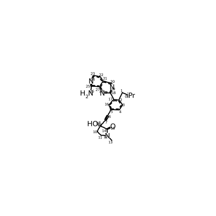 CC(C)Cc1ccc(C#C[C@]2(O)CCN(C)C2=O)cc1-c1ncc2ccnc(N)c2n1